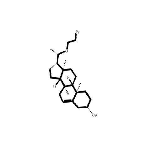 CC(C)CCO[C@@H](C)[C@H]1CC[C@H]2[C@@H]3CC=C4C[C@@H](O)CC[C@]4(C)[C@H]3CC[C@]12C